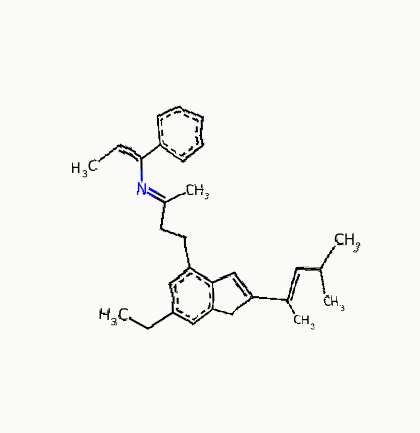 C/C=C(\N=C(/C)CCc1cc(CC)cc2c1C=C(/C(C)=C/C(C)C)C2)c1ccccc1